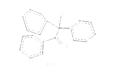 C=C(c1ccccc1)C(P)(c1ccccc1)c1ccccc1.Cl